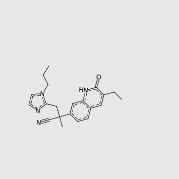 CCCn1ccnc1CC(C)(C#N)c1ccc2cc(CC)c(=O)[nH]c2c1